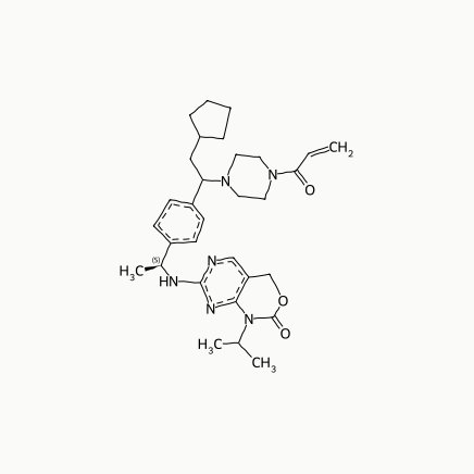 C=CC(=O)N1CCN(C(CC2CCCC2)c2ccc([C@H](C)Nc3ncc4c(n3)N(C(C)C)C(=O)OC4)cc2)CC1